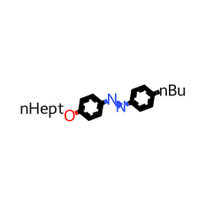 CCCCCCCOc1ccc(N=Nc2ccc(CCCC)cc2)cc1